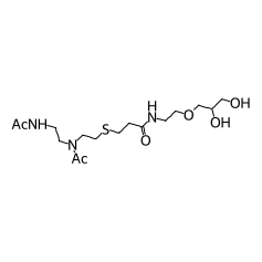 CC(=O)NCCN(CCSCCC(=O)NCCOCC(O)CO)C(C)=O